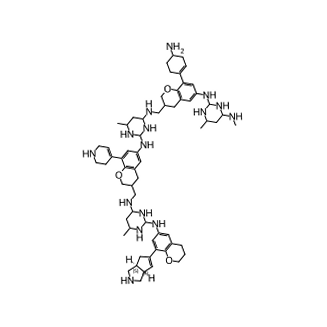 CNC1CC(C)NC(Nc2cc3c(c(C4=CCC(N)CC4)c2)OCC(CNC2CC(C)NC(Nc4cc5c(c(C6=CCNCC6)c4)OCC(CNC4CC(C)NC(Nc6cc7c(c(C8=C[C@H]9CNC[C@H]9C8)c6)OCCC7)N4)C5)N2)C3)N1